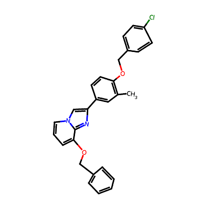 Cc1cc(-c2cn3cccc(OCc4ccccc4)c3n2)ccc1OCc1ccc(Cl)cc1